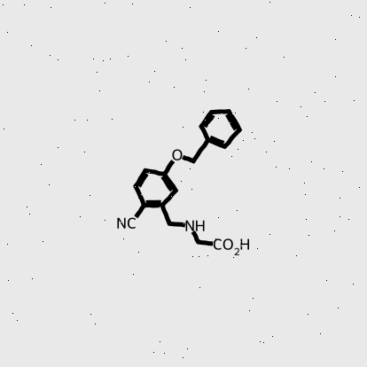 N#Cc1ccc(OCc2ccccc2)cc1CNCC(=O)O